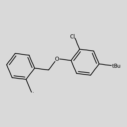 [CH2]c1ccccc1COc1ccc(C(C)(C)C)cc1Cl